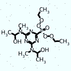 CCOOP(=O)(OOCC)c1nc(N(C)C(C)O)nc(N(C)C(C)O)n1